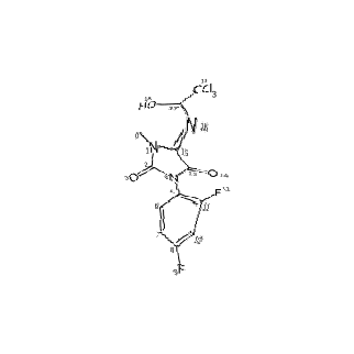 CN1C(=O)N(c2ccc(F)cc2F)C(=O)/C1=N/C(O)C(Cl)(Cl)Cl